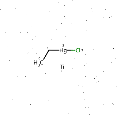 C[CH2][Hg][Cl].[Ti]